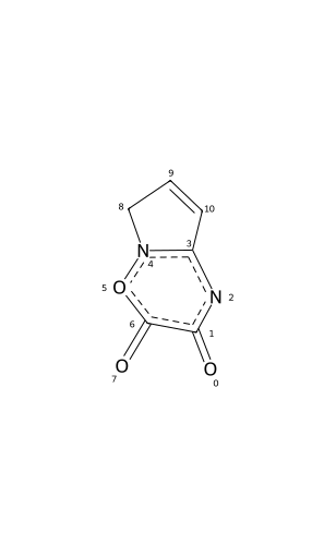 O=c1nc2n(oc1=O)CC=C2